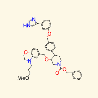 COCCCN1CCOc2ccc(COC3CN(C(=O)OCc4ccccc4)CCC3c3ccc(COc4cccc(-c5c[nH]cn5)c4)cc3)cc21